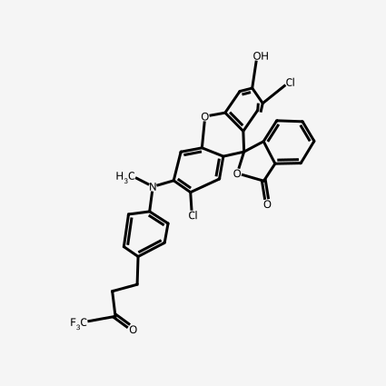 CN(c1ccc(CCC(=O)C(F)(F)F)cc1)c1cc2c(cc1Cl)C1(OC(=O)c3ccccc31)c1cc(Cl)c(O)cc1O2